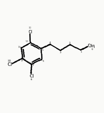 OCCCCc1cc(Cl)c(Cl)cc1Cl